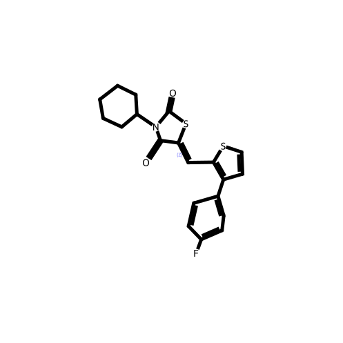 O=C1S/C(=C\c2sccc2-c2ccc(F)cc2)C(=O)N1C1CCCCC1